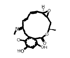 C/N=C1/C=C/C=C\[C@H]2OC2C[C@@H](C)OC(=O)c2c(O)cc(O)c(Cl)c2C1